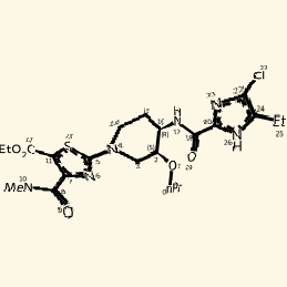 CCCO[C@H]1CN(c2nc(C(=O)NC)c(C(=O)OCC)s2)CC[C@H]1NC(=O)c1nc(Cl)c(CC)[nH]1